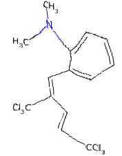 CN(C)c1ccccc1C=C(C=CC(Cl)(Cl)Cl)C(Cl)(Cl)Cl